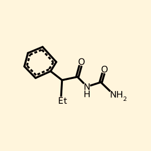 CCC(C(=O)NC(N)=O)c1ccccc1